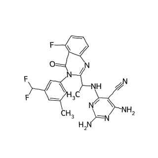 Cc1cc(C(F)F)cc(-n2c(C(C)Nc3nc(N)nc(N)c3C#N)nc3cccc(F)c3c2=O)c1